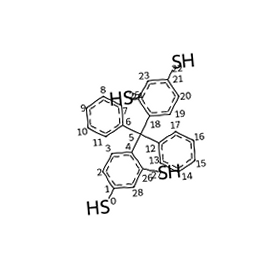 Sc1ccc(C(c2ccccc2)(c2ccccc2)c2ccc(S)cc2S)c(S)c1